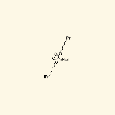 CCCCCCCCCC(C(=O)OCCCCCCC(C)C)C(=O)OCCCCCCC(C)C